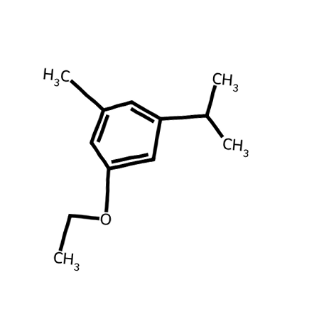 CCOc1cc(C)cc(C(C)C)c1